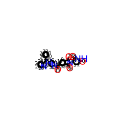 O=C1CCC(N2C(=O)c3ccc(C(=O)N4CCN(C(c5ccccc5)c5ccccn5)CC4)cc3C2=O)C(=O)N1